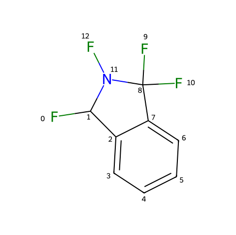 FC1c2ccccc2C(F)(F)N1F